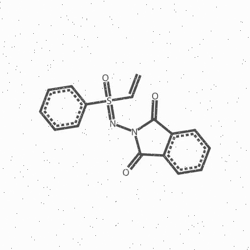 C=CS(=O)(=NN1C(=O)c2ccccc2C1=O)c1ccccc1